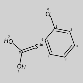 Clc1ccccc1.OC(O)=S